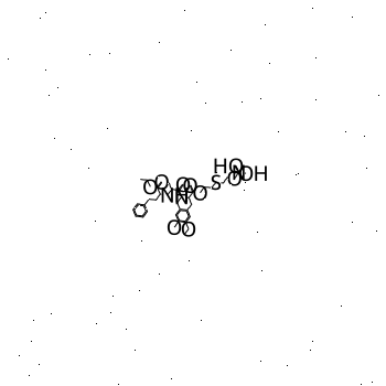 CCOC(=O)C(CCc1ccccc1)NC(C)C(=O)N1Cc2cc(OC)c(OC)cc2CC1C(=O)OCCSCCON(O)O